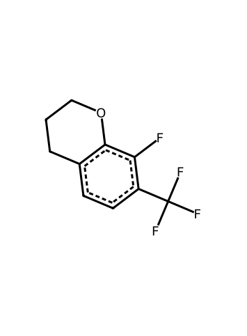 Fc1c(C(F)(F)F)ccc2c1OCCC2